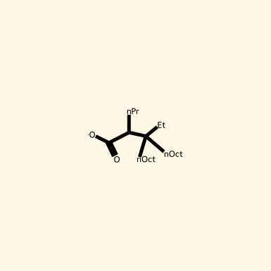 CCCCCCCCC(CC)(CCCCCCCC)C(CCC)C([O])=O